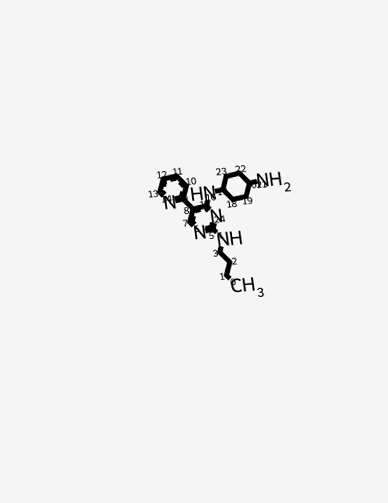 CCCCNc1ncc(-c2ccccn2)c(NC2CCC(N)CC2)n1